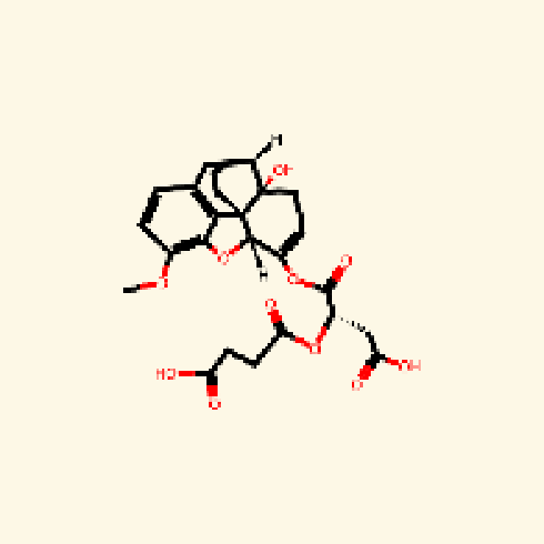 COc1ccc2c3c1O[C@H]1C(OC(=O)[C@H](CC(=O)O)OC(=O)CCC(=O)O)=CC[C@@]4(O)[C@H](CCC[C@]314)C2